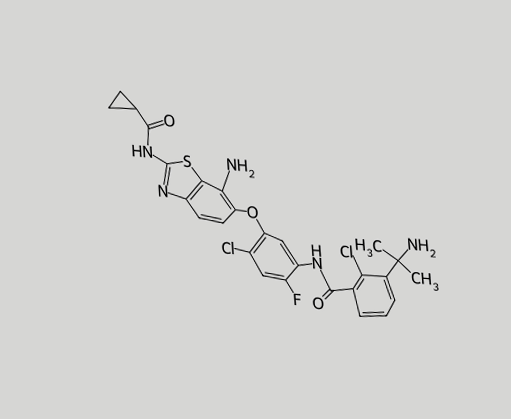 CC(C)(N)c1cccc(C(=O)Nc2cc(Oc3ccc4nc(NC(=O)C5CC5)sc4c3N)c(Cl)cc2F)c1Cl